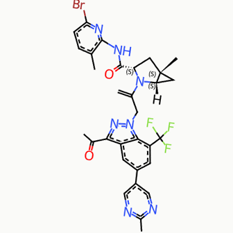 C=C(Cn1nc(C(C)=O)c2cc(-c3cnc(C)nc3)cc(C(F)(F)F)c21)N1[C@H]2C[C@@]2(C)C[C@H]1C(=O)Nc1nc(Br)ccc1C